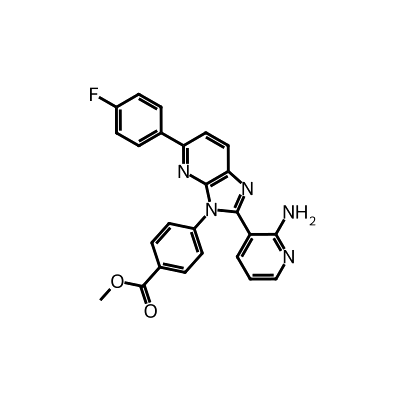 COC(=O)c1ccc(-n2c(-c3cccnc3N)nc3ccc(-c4ccc(F)cc4)nc32)cc1